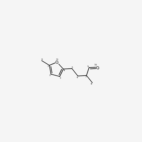 Cc1ccc(CCC(C)C=O)o1